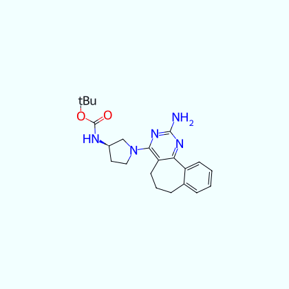 CC(C)(C)OC(=O)N[C@@H]1CCN(c2nc(N)nc3c2CCCc2ccccc2-3)C1